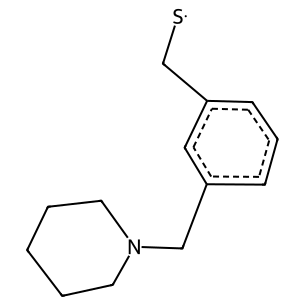 [S]Cc1cccc(CN2CCCCC2)c1